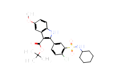 COc1ccc2[nH]c(-c3ccc(Cl)c(S(=O)(=O)NC4CCCCC4)c3)c(C(=O)OC(C)(C)C)c2c1